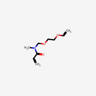 C=COCCOCN(C)C(=O)C=C